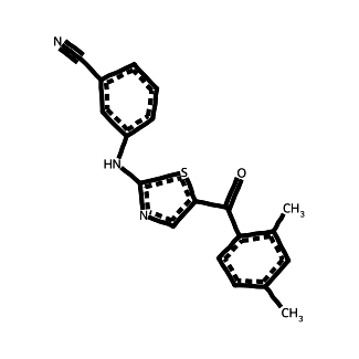 Cc1ccc(C(=O)c2cnc(Nc3cccc(C#N)c3)s2)c(C)c1